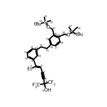 CCC(=CC#CC(O)(C(F)(F)F)C(F)(F)F)c1cccc(CCc2ccc(CO[Si](C)(C)C(C)(C)C)c(CO[Si](C)(C)C(C)(C)C)c2)c1